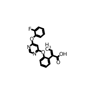 C/C=C(/C(=O)O)c1ccccc1Oc1cc(Oc2ccccc2F)ncn1